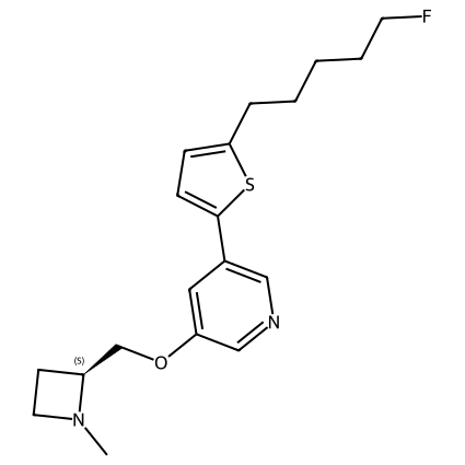 CN1CC[C@H]1COc1cncc(-c2ccc(CCCCCF)s2)c1